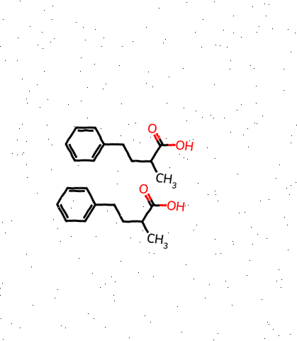 CC(CCc1ccccc1)C(=O)O.CC(CCc1ccccc1)C(=O)O